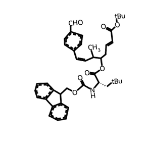 CC(/C=C\c1ccc(C=O)cc1)C(C/C=C/C(=O)OC(C)(C)C)OC(=O)[C@H](CC(C)(C)C)NC(=O)OCC1c2ccccc2-c2ccccc21